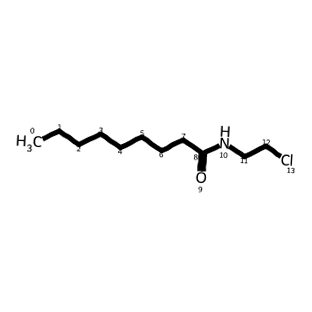 CCCCCCCCC(=O)NCCCl